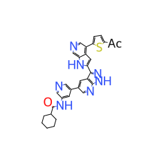 CC(=O)c1ccc(-c2cncc3[nH]c(-c4n[nH]c5ncc(-c6cncc(NC(=O)C7CCCCC7)c6)cc45)cc23)s1